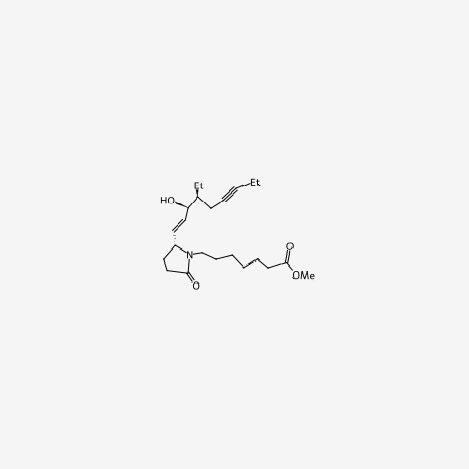 CCC#CC[C@H](CC)[C@H](O)/C=C/[C@H]1CCC(=O)N1CCCCCCC(=O)OC